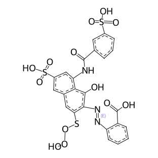 O=C(Nc1cc(S(=O)(=O)O)cc2cc(SOOO)c(/N=N/c3ccccc3C(=O)O)c(O)c12)c1cccc(S(=O)(=O)O)c1